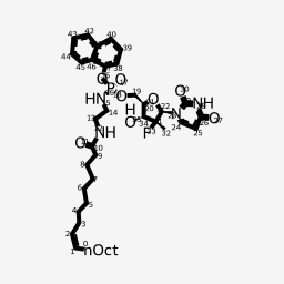 CCCCCCCC/C=C\CCCCCCCC(=O)NCCNP(=O)(OC[C@H]1O[C@@H](n2ccc(=O)[nH]c2=O)[C@](C)(F)[C@@H]1O)Oc1cccc2ccccc12